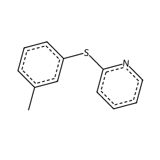 Cc1cccc(Sc2ccccn2)c1